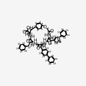 O=C1COc2ccc(cc2)C[C@@H](C(=O)O)NC(=O)[C@H](CCc2ccccc2)NC(=O)[C@@H](Cc2ccc(-c3ccccc3)cc2)NC(=O)[C@H](Cc2cn(-c3ccccc3)nn2)N1